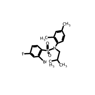 Cc1ccc(N(CC(C)C)S(=O)(=O)c2ccc(F)cc2Br)c(C)c1